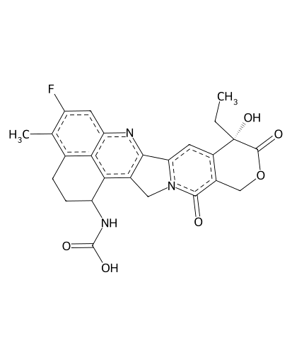 CC[C@@]1(O)C(=O)OCc2c1cc1n(c2=O)Cc2c-1nc1cc(F)c(C)c3c1c2C(NC(=O)O)CC3